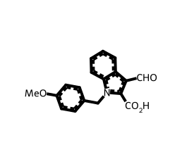 COc1ccc(Cn2c(C(=O)O)c(C=O)c3ccccc32)cc1